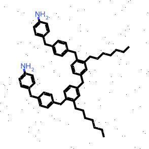 CCCCCCCc1cc(Cc2ccc(Cc3ccc(Cc4ccc(N)cc4)cc3)c(CCCCCCC)c2)ccc1Cc1ccc(Cc2ccc(N)cc2)cc1